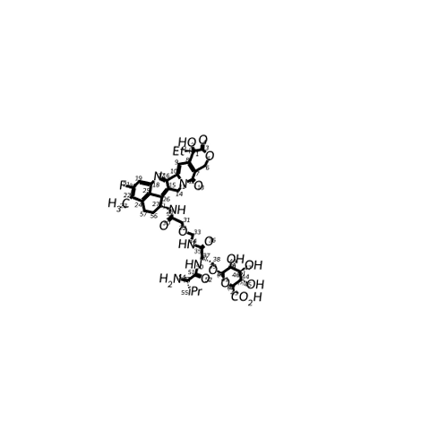 CC[C@@]1(O)C(=O)OCc2c1cc1n(c2=O)Cc2c-1nc1cc(F)c(C)c3c1c2[C@@H](NC(=O)COCNC(=O)[C@H](CO[C@@H]1O[C@H](C(=O)O)[C@@H](O)[C@H](O)[C@H]1O)NC(=O)[C@@H](N)C(C)C)CC3